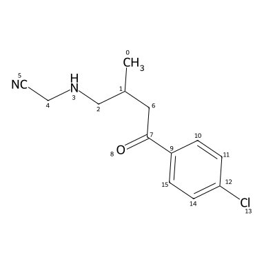 CC(CNCC#N)CC(=O)c1ccc(Cl)cc1